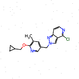 Cc1cc(Cn2cc3c(Cl)nccc3n2)cnc1OCC1CC1